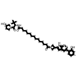 CC(C)(C)[C@H](NC(=O)CCCCCCCCCCCCCC(=O)N1CC(c2cc3cc(-c4ccccc4O)nnc3[nH]2)C1)C(=O)N1CC[C@@H](O)C1